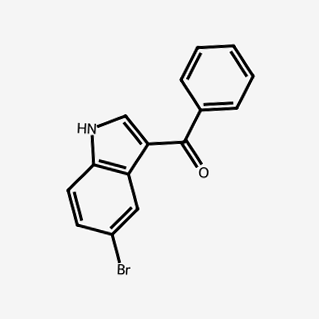 O=C(c1ccccc1)c1c[nH]c2ccc(Br)cc12